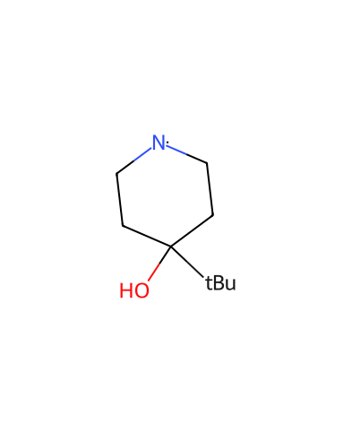 CC(C)(C)C1(O)CC[N]CC1